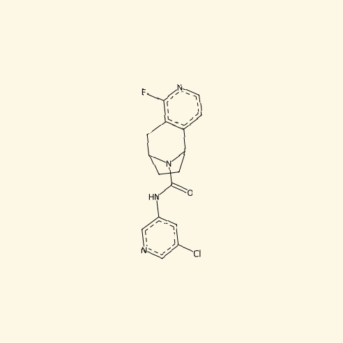 O=C(Nc1cncc(Cl)c1)N1C2CCC1c1ccnc(F)c1C2